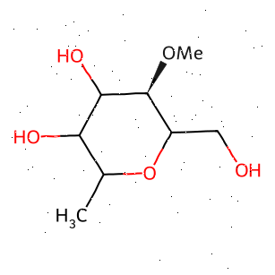 CO[C@H]1C(CO)OC(C)C(O)C1O